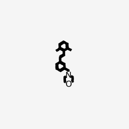 Cc1cccc(C)c1C=Cc1cccc(CN2CCOCC2)c1